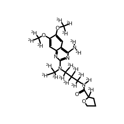 [2H]N([2H])c1nc(N(C([2H])([2H])[2H])C([2H])([2H])C([2H])([2H])C([2H])([2H])N([2H])C(=O)C2([2H])CCCO2)nc2cc(OC([2H])([2H])[2H])c(OC([2H])([2H])[2H])cc12